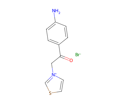 Nc1ccc(C(=O)C[n+]2ccsc2)cc1.[Br-]